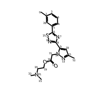 Cc1cccc(-c2nc(-c3cc(C)nn3CC(=O)OCCN(C)C)ns2)c1